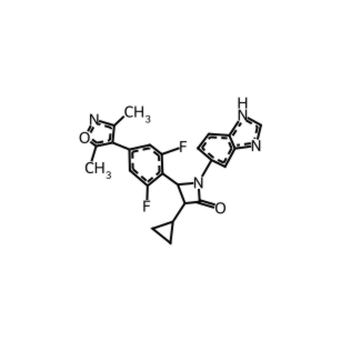 Cc1noc(C)c1-c1cc(F)c(C2C(C3CC3)C(=O)N2c2ccc3[nH]cnc3c2)c(F)c1